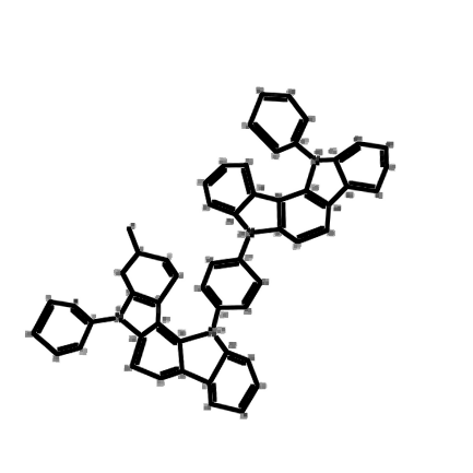 CC1C=Cc2c(n(-c3ccccc3)c3ccc4c5ccccc5n(-c5ccc(-n6c7ccccc7c7c6ccc6c8ccccc8n(-c8ccccc8)c67)cc5)c4c23)C1